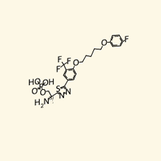 C[C@](N)(COP(=O)(O)O)c1nnc(-c2ccc(OCCCCCOc3ccc(F)cc3)c(C(F)(F)F)c2)s1